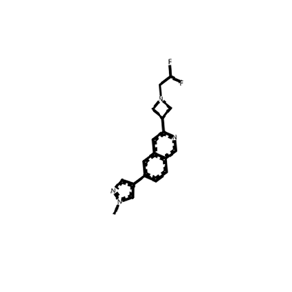 Cn1cc(-c2ccc3cnc(C4CN(CC(F)F)C4)cc3c2)cn1